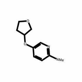 CNc1ccc(OC2CCOC2)cn1